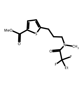 CCC(F)(F)C(=O)N(C)CCCc1ccc(C(=O)OC)s1